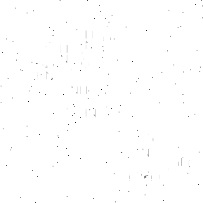 CCCCCC(C)(CCC)C1CC(=O)N(CCCCCC(=O)NCC(=O)NCC(=O)N[C@@H](Cc2ccccc2)C(=O)NCC(=O)NCOCC2(C(C)=O)CCC2)C1=O